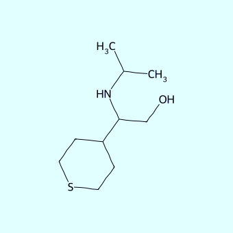 CC(C)NC(CO)C1CCSCC1